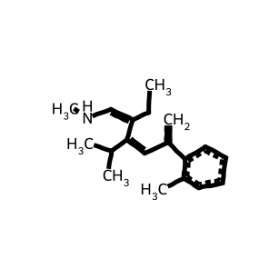 C=C(/C=C(\C(=C/NC)CC)C(C)C)c1ccccc1C